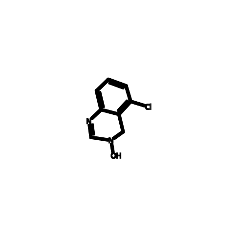 ON1C=Nc2cccc(Cl)c2C1